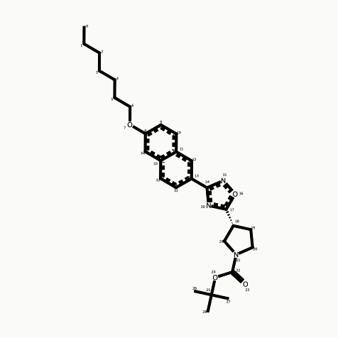 CCCCCCCOc1ccc2cc(-c3noc([C@@H]4CCN(C(=O)OC(C)(C)C)C4)n3)ccc2c1